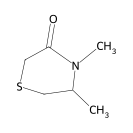 CC1CSCC(=O)N1C